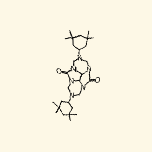 CC1(C)CC(N2CN3C(=O)N4CN(C5CC(C)(C)CC(C)(C)C5)CN5C(=O)N(C2)C3C45)CC(C)(C)C1